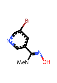 CN/C(=N\O)c1cncc(Br)c1